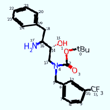 CC(C)(C)OC(=O)N(Cc1cccc(C(F)(F)F)c1)C[C@@H](O)C(N)Cc1ccccc1